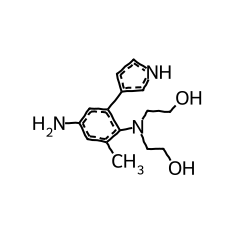 Cc1cc(N)cc(-c2cc[nH]c2)c1N(CCO)CCO